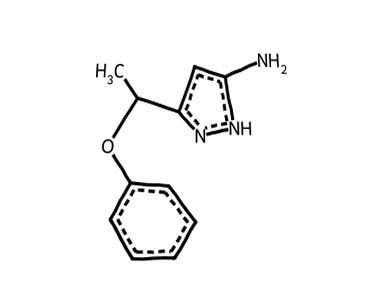 CC(Oc1ccccc1)c1cc(N)[nH]n1